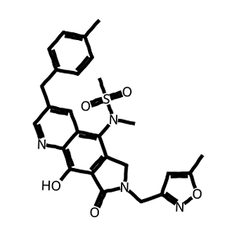 Cc1ccc(Cc2cnc3c(O)c4c(c(N(C)S(C)(=O)=O)c3c2)CN(Cc2cc(C)on2)C4=O)cc1